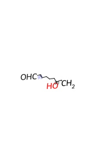 C=C[C@H](O)CCC/C=C/C=O